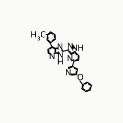 Cc1cccc(-c2ccnc3[nH]c(-c4n[nH]c5ccc(-c6cncc(OCc7ccccc7)c6)nc45)nc23)c1